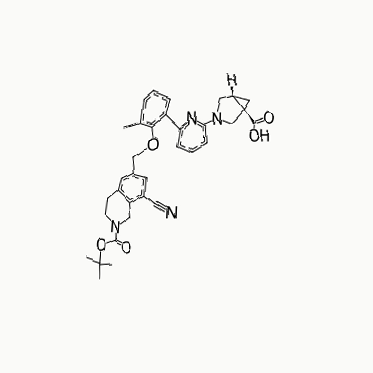 Cc1cccc(-c2cccc(N3C[C@@H]4C[C@]4(C(=O)O)C3)n2)c1OCc1cc(C#N)c2c(c1)CCN(C(=O)OC(C)(C)C)C2